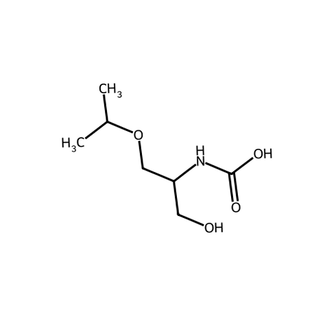 CC(C)OCC(CO)NC(=O)O